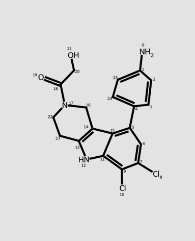 Nc1ccc(-c2cc(Cl)c(Cl)c3[nH]c4c(c23)CN(C(=O)CO)CC4)cc1